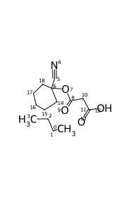 CCCC.N#CC1(OC(=O)CC(=O)O)CCCCC1